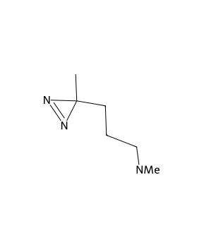 CNCCCC1(C)N=N1